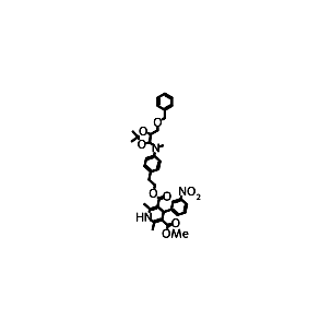 COC(=O)C1=C(C)NC(C)=C(C(=O)OCCc2ccc(N(C)C3OC(C)(C)OC3COCc3ccccc3)cc2)C1c1cccc([N+](=O)[O-])c1